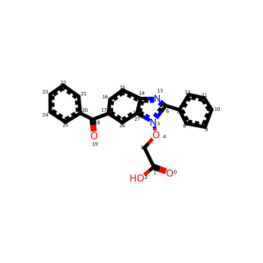 O=C(O)COn1c(-c2ccccc2)nc2ccc(C(=O)c3ccccc3)cc21